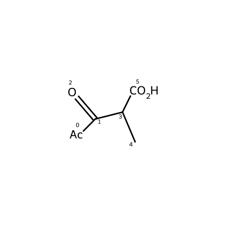 CC(=O)C(=O)C(C)C(=O)O